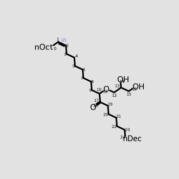 CCCCCCCC/C=C\CCCCCCCC(OCC(O)CO)C(=O)CCCCCCCCCCCCCCC